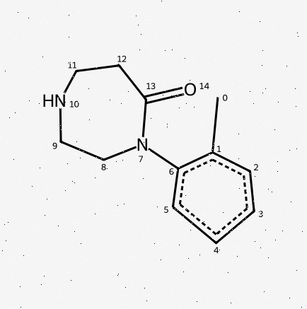 Cc1ccccc1N1CCNCCC1=O